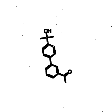 CC(=O)c1cccc(-c2ccc(C(C)(C)O)cc2)c1